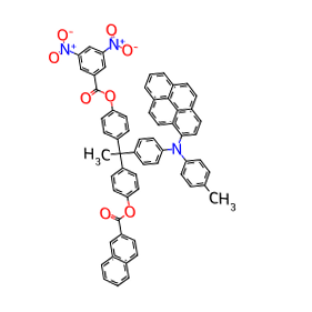 Cc1ccc(N(c2ccc(C(C)(c3ccc(OC(=O)c4cc([N+](=O)[O-])cc([N+](=O)[O-])c4)cc3)c3ccc(OC(=O)c4ccc5ccccc5c4)cc3)cc2)c2ccc3ccc4cccc5ccc2c3c45)cc1